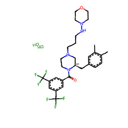 Cc1ccc(C[C@@H]2CN(CCCNN3CCOCC3)CCN2C(=O)c2cc(C(F)(F)F)cc(C(F)(F)F)c2)cc1C.Cl.Cl